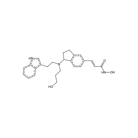 O=C(C=Cc1ccc2c(c1)CCC2N(CCCO)CCc1c[nH]c2ccccc12)NO